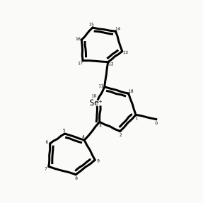 Cc1cc(-c2ccccc2)[se+]c(-c2ccccc2)c1